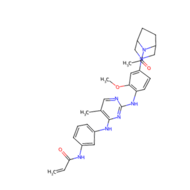 C=CC(=O)Nc1cccc(Nc2nc(Nc3ccc(N4CC5CCC(C4)N5C(C)=O)cc3OC)ncc2C)c1